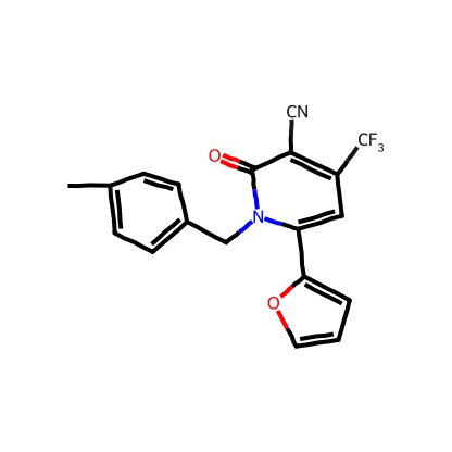 Cc1ccc(Cn2c(-c3ccco3)cc(C(F)(F)F)c(C#N)c2=O)cc1